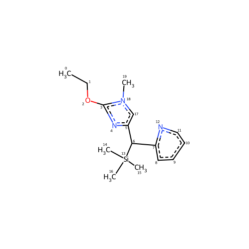 CCOc1nc(C(c2ccccn2)[Si](C)(C)C)cn1C